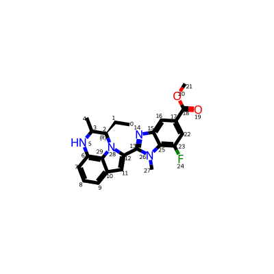 CC[C@@H]1C(C)Nc2cccc3cc(-c4nc5cc(C(=O)OC)cc(F)c5n4C)n1c23